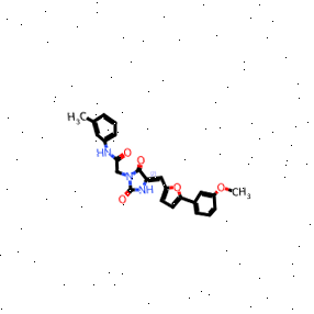 COc1cccc(-c2ccc(/C=C3\NC(=O)N(CC(=O)Nc4cccc(C)c4)C3=O)o2)c1